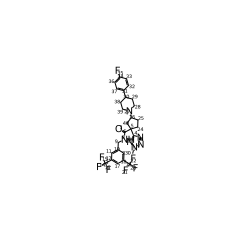 Cn1nnc(C2(C(=O)NCc3cc(C(F)(F)F)cc(C(F)(F)F)c3)CCC(N3CCC(c4ccc(F)cc4)CC3)C2)n1